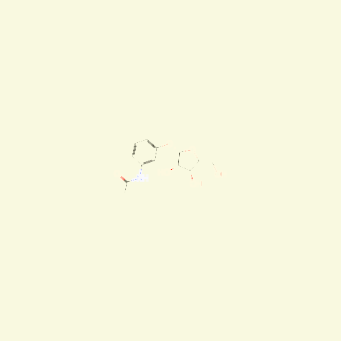 O=C(Nc1cccc(O[C@@H]2O[C@H](CO)[C@@H](O)[C@H]2O)c1)C(F)(F)F